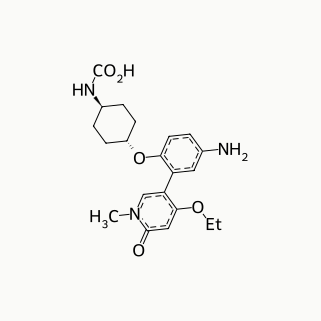 CCOc1cc(=O)n(C)cc1-c1cc(N)ccc1O[C@H]1CC[C@H](NC(=O)O)CC1